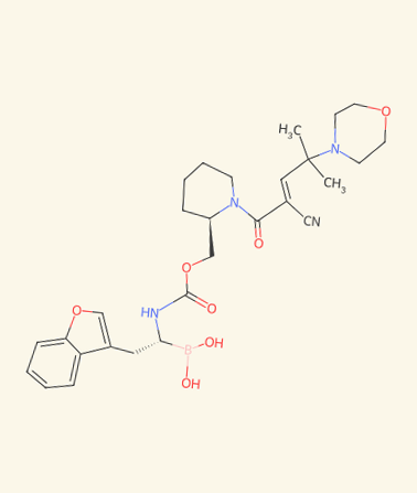 CC(C)(C=C(C#N)C(=O)N1CCCC[C@@H]1COC(=O)N[C@@H](Cc1coc2ccccc12)B(O)O)N1CCOCC1